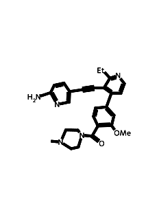 CCc1nccc(-c2ccc(C(=O)N3CCN(C)CC3)c(OC)c2)c1C#Cc1ccc(N)nc1